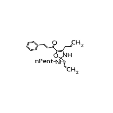 C=CCC1=C(C(=O)C=Cc2ccccc2)OC(CC=C)(NCCCCC)N1